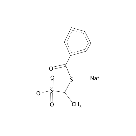 CC(SC(=O)c1ccccc1)S(=O)(=O)[O-].[Na+]